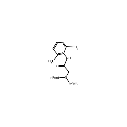 CCCCCN(CCCCC)CC(=O)Nc1c(C)cccc1C